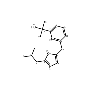 CC(C)Cc1ncc(Cc2cccc(C(C)(C)O)n2)o1